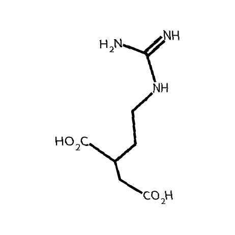 N=C(N)NCCC(CC(=O)O)C(=O)O